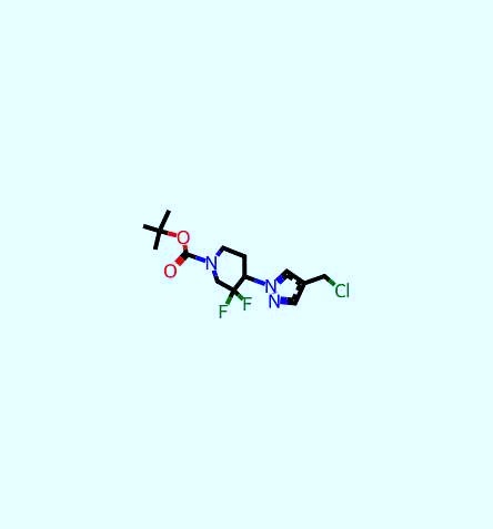 CC(C)(C)OC(=O)N1CCC(n2cc(CCl)cn2)C(F)(F)C1